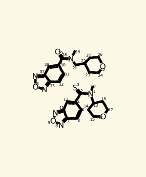 CN(C(=S)c1ccc2nonc2c1)C1CCOCC1.CN(CC1CCOCC1)C(=O)c1ccc2nonc2c1